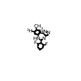 [2H]c1cc2c(cc1C)-c1[nH]ncc1N=C(c1c(F)cccc1F)N2